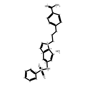 Cl.N=C(N)c1ccc(CCCn2ccc3cc(NS(=O)(=O)c4ccccc4)ccc32)cc1